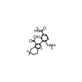 CNCc1ccc(C(=O)NC)cc1-c1sc2c(c1C(=O)O)CC(C)(C)CC2